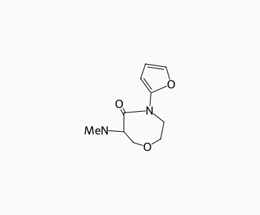 CNC1COCCN(c2ccco2)C1=O